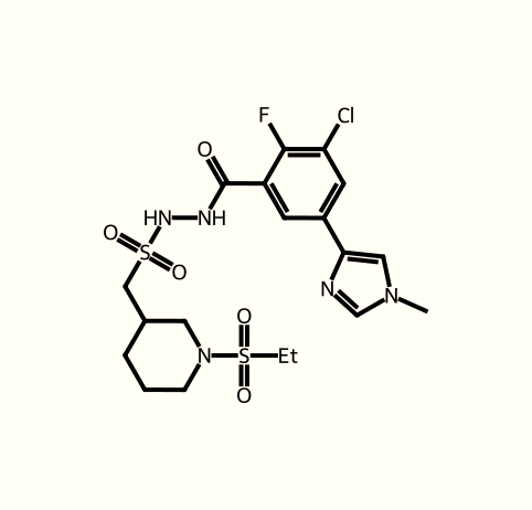 CCS(=O)(=O)N1CCCC(CS(=O)(=O)NNC(=O)c2cc(-c3cn(C)cn3)cc(Cl)c2F)C1